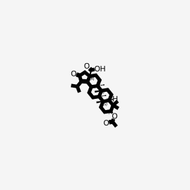 CC(=O)O[C@H]1CC[C@@]2(C)[C@@H](CC[C@]3(C)[C@]2(C)CCC2C4=C(C(C)C)C(=O)C[C@]4(C(=O)O)CC[C@]23C)C1(C)C